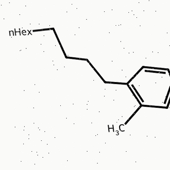 CCCCCCCCCCc1ccc[c]c1C